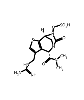 CN(C)C(=O)[C@@H]1c2c(CNC(=N)N)csc2[C@@H]2CN1C(=O)N2OS(=O)(=O)O